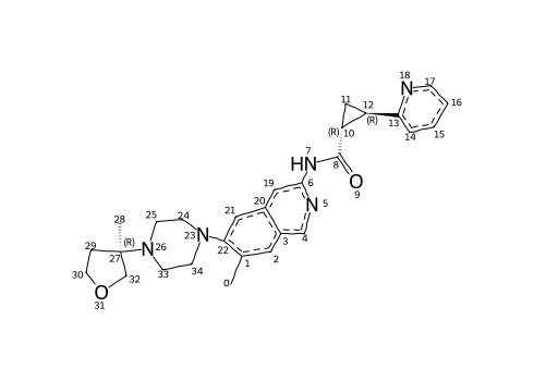 Cc1cc2cnc(NC(=O)[C@@H]3C[C@H]3c3ccccn3)cc2cc1N1CCN([C@]2(C)CCOC2)CC1